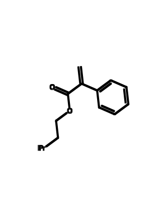 C=C(C(=O)OCCC(C)C)c1ccccc1